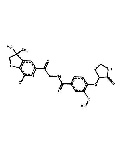 COc1cc(C(=O)NCC(=O)c2cc3c(c(Cl)n2)OCC3(C)C)ccc1OC1CCNC1=O